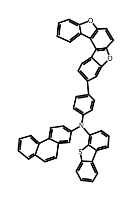 c1ccc2c(c1)ccc1cc(N(c3ccc(-c4ccc5c(c4)oc4ccc6oc7ccccc7c6c45)cc3)c3cccc4c3sc3ccccc34)ccc12